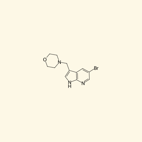 Brc1cnc2[nH]cc(CN3CCOCC3)c2c1